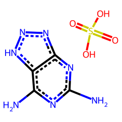 Nc1nc(N)c2[nH]nnc2n1.O=S(=O)(O)O